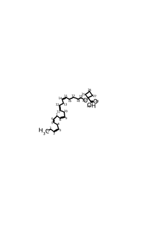 CC/C=C\C/C=C\C/C=C\C/C=C\C/C=C\CCCCOC1(C(=O)O)CCC1